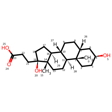 C[C@]12CC[C@H](O)C[C@H]1CC[C@@H]1[C@@H]2CC[C@@]2(C)[C@H]1CC[C@@]2(O)CCC(=O)O